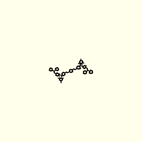 Cc1cc(C)c(N(c2ccc(C=Cc3ccc(C=Cc4ccc(N(c5ccc(C=C(c6ccccc6)c6ccccc6)cc5)c5c(C)cc(C)cc5C)cc4)cc3)cc2)c2ccc(C=C(c3ccccc3)c3ccccc3)cc2)c(C)c1